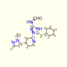 CCn1nc(C)cc1-c1ccnc(N2N=C(NC=O)NC2Cc2ccccc2)c1